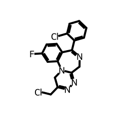 Fc1ccc2c(c1)N1CC(CCl)=NN=C1CN=C2c1ccccc1Cl